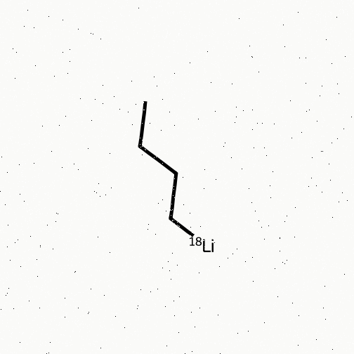 [18Li][CH2]CCC